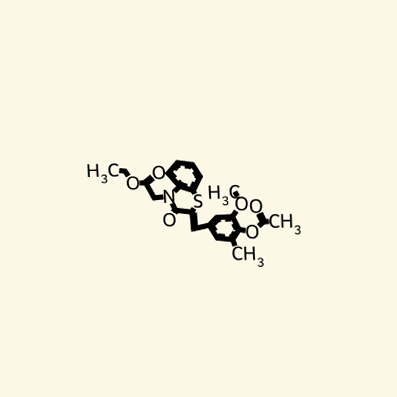 CCOC(=O)CN1C(=O)C(=Cc2cc(C)c(OC(C)=O)c(OC)c2)Sc2ccccc21